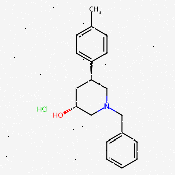 Cc1ccc([C@@H]2C[C@H](O)CN(Cc3ccccc3)C2)cc1.Cl